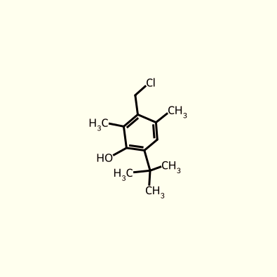 Cc1cc(C(C)(C)C)c(O)c(C)c1CCl